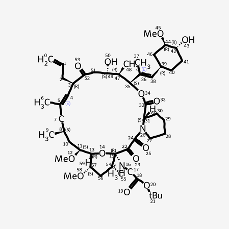 C=CC[C@@H]1/C=C(\C)C[C@H](C)C[C@H](OC)[C@H]2O[C@@](NCC(=O)OC(C)(C)C)(C(=O)C(=O)N3CCCC[C@H]3C(=O)O[C@H](/C(C)=C/[C@@H]3CC[C@@H](O)[C@H](OC)C3)[C@H](C)[C@@H](O)CC1=O)[C@H](C)C[C@@H]2OC